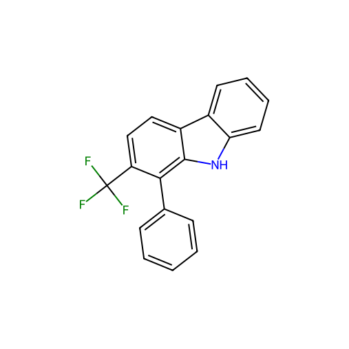 FC(F)(F)c1ccc2c([nH]c3ccccc32)c1-c1ccccc1